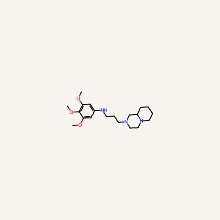 COc1cc(NCCCN2CCN3CCCCC3C2)cc(OC)c1OC